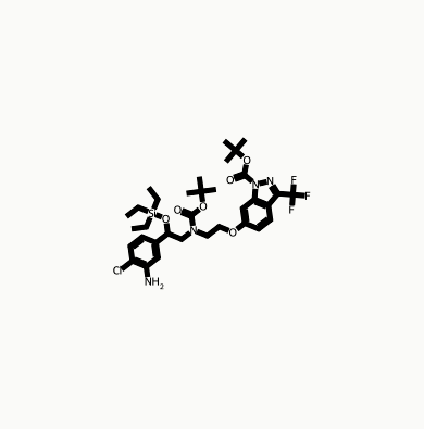 CC[Si](CC)(CC)OC(CN(CCOc1ccc2c(C(F)(F)F)nn(C(=O)OC(C)(C)C)c2c1)C(=O)OC(C)(C)C)c1ccc(Cl)c(N)c1